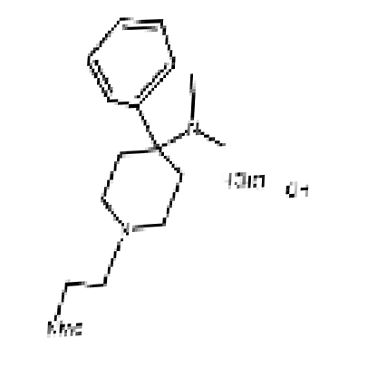 CNCCN1CCC(c2ccccc2)(N(C)C)CC1.Cl.Cl.Cl